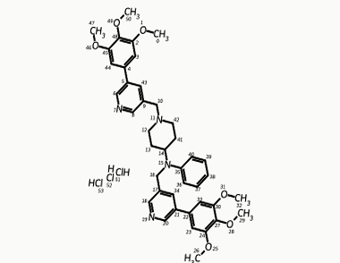 COc1cc(-c2cncc(CN3CCC(N(Cc4cncc(-c5cc(OC)c(OC)c(OC)c5)c4)c4ccccc4)CC3)c2)cc(OC)c1OC.Cl.Cl.Cl